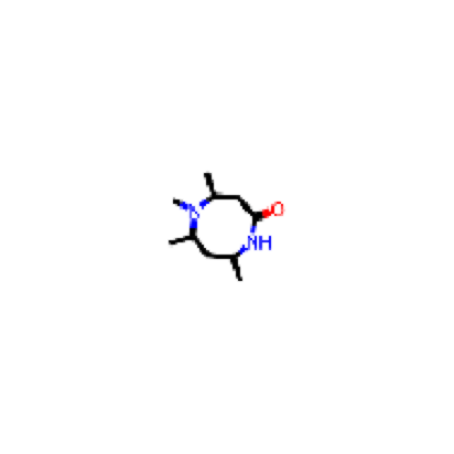 CC1CC(C)N(C)C(C)CC(=O)N1